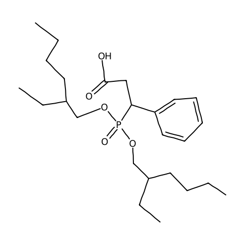 CCCCC(CC)COP(=O)(OCC(CC)CCCC)C(CC(=O)O)c1ccccc1